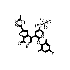 CCS(=O)(=O)Nc1cnc(Oc2c(C)cc(F)cc2C)c(-c2cn(C)c(=O)c3oc(-c4nnc(C)o4)cc23)c1